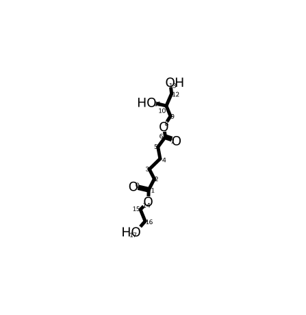 O=C(CCCCC(=O)OCC(O)CO)OCCO